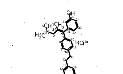 CC(CN(C)C)=C(c1ccc(CCc2ccccc2)cc1)c1cccc(O)c1.Cl